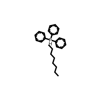 CCCCCCCC[PH](c1ccccc1)(c1ccccc1)c1ccccc1